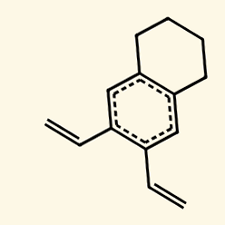 C=Cc1cc2c(cc1C=C)CCCC2